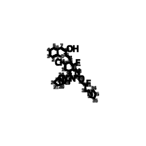 Cc1ccccc1/C=C(O)\C=C\c1c(Cl)cc2c(N3CC4CCC(C3)N4)nc(OCC(F)CN3CCCC3)nc2c1F